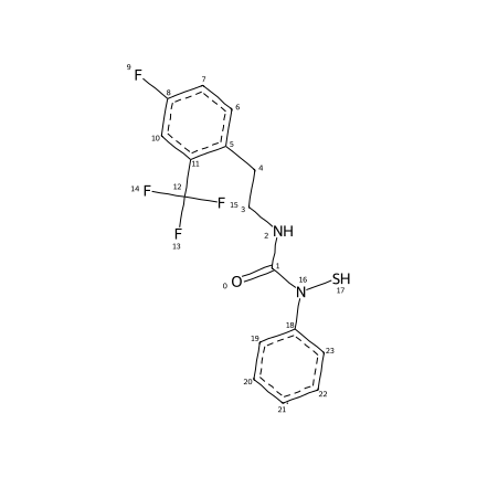 O=C(NCCc1ccc(F)cc1C(F)(F)F)N(S)c1cc[c]cc1